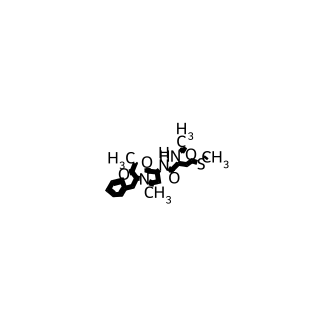 CCC(=O)C(Cc1ccccc1)N1C(=O)C(NC(=O)C(CCSC)NC(C)=O)CC1C